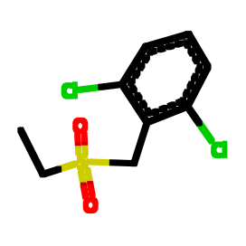 CCS(=O)(=O)Cc1c(Cl)cccc1Cl